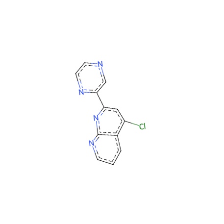 Clc1cc(-c2cnccn2)nc2ncccc12